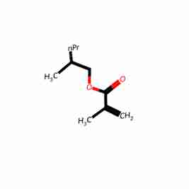 C=C(C)C(=O)OCC(C)CCC